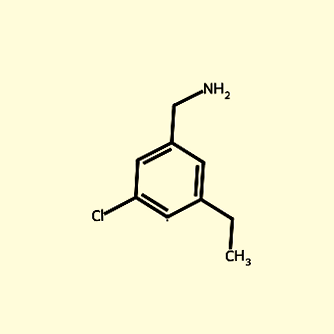 CCc1[c]c(Cl)cc(CN)c1